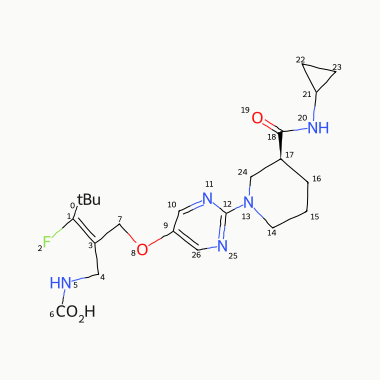 CC(C)(C)/C(F)=C(/CNC(=O)O)COc1cnc(N2CCC[C@H](C(=O)NC3CC3)C2)nc1